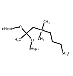 CCCCCCCOC(C)(C[N+](C)(C)CCCS(=O)(=O)O)OCCCCCCC